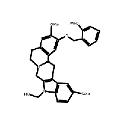 COc1ccc2c(c1)c1c(n2CO)CN2CCc3cc(OC)c(OCc4ccccc4OC)cc3C2C1